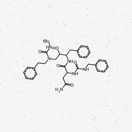 CC(C)(C)NC(=O)N(CCc1ccccc1)CC(O)C(Cc1ccccc1)NC(=O)C(CC(N)=O)NC(=O)NCc1ccccc1